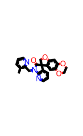 Cc1cccnc1CN1C(=O)C2(COc3cc4c(cc32)OCCO4)c2cccnc21